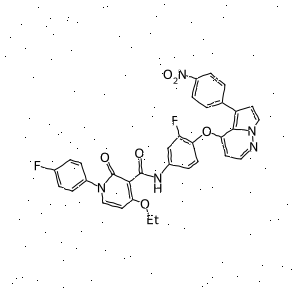 CCOc1ccn(-c2ccc(F)cc2)c(=O)c1C(=O)Nc1ccc(Oc2ccnn3ccc(-c4ccc([N+](=O)[O-])cc4)c23)c(F)c1